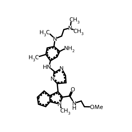 COCCNC(=O)c1c(-c2ccnc(Nc3cc(N)c(N(C)CCN(C)C)cc3C)n2)c2ccccc2n1C